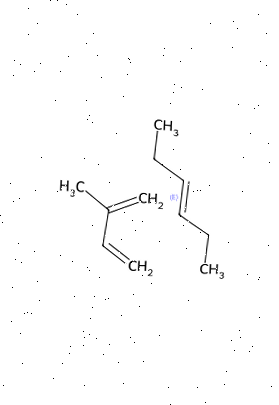 C=CC(=C)C.CC/C=C/CC